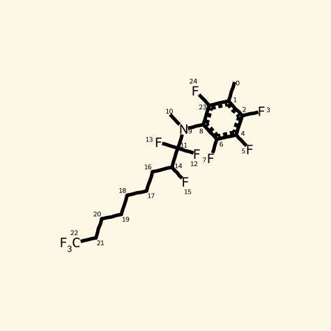 Cc1c(F)c(F)c(F)c(N(C)C(F)(F)C(F)CCCCCCC(F)(F)F)c1F